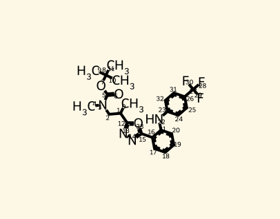 CC(CN(C)C(=O)OC(C)(C)C)c1nnc(-c2ccccc2Nc2ccc(C(F)(F)F)cc2)o1